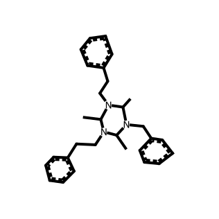 CC1N(CCc2ccccc2)C(C)N(Cc2ccccc2)C(C)N1CCc1ccccc1